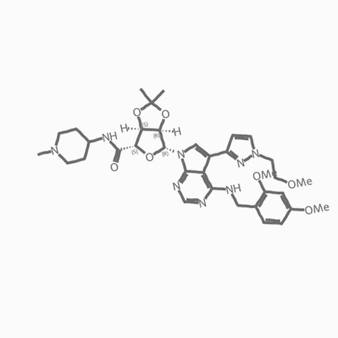 COCCn1ccc(-c2cn([C@@H]3O[C@H](C(=O)NC4CCN(C)CC4)[C@H]4OC(C)(C)O[C@H]43)c3ncnc(NCc4ccc(OC)cc4OC)c23)n1